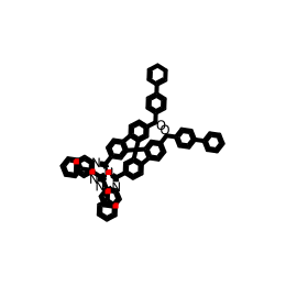 O=C(c1ccc(C2=CCCC=C2)cc1)c1ccc2c(c1)C1(c3cc(C(=O)c4ccc(-c5ccccc5)cc4)ccc3-c3ccc(-c4nc(-c5ccccc5)nc(-c5ccccc5)n4)cc31)c1cc(-c3nc(-c4ccccc4)nc(-c4ccccc4)n3)ccc1-2